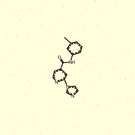 Cc1cccc(NC(=O)c2ccnc(-n3ccnc3)c2)c1